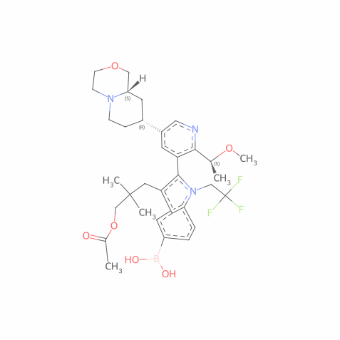 CO[C@@H](C)c1ncc([C@@H]2CCN3CCOC[C@@H]3C2)cc1-c1c(CC(C)(C)COC(C)=O)c2cc(B(O)O)ccc2n1CC(F)(F)F